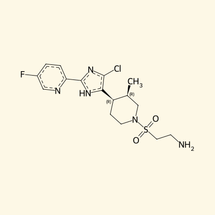 C[C@H]1CN(S(=O)(=O)CCN)CC[C@H]1c1[nH]c(-c2ccc(F)cn2)nc1Cl